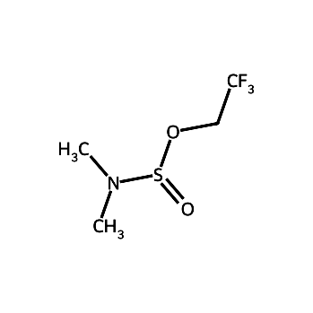 CN(C)S(=O)OCC(F)(F)F